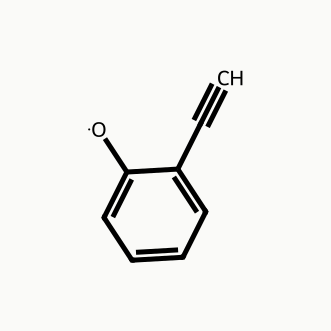 C#Cc1ccccc1[O]